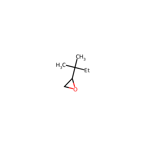 CCC(C)(C)C1CO1